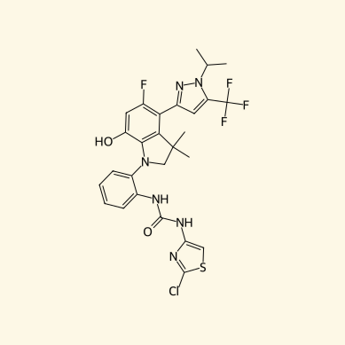 CC(C)n1nc(-c2c(F)cc(O)c3c2C(C)(C)CN3c2ccccc2NC(=O)Nc2csc(Cl)n2)cc1C(F)(F)F